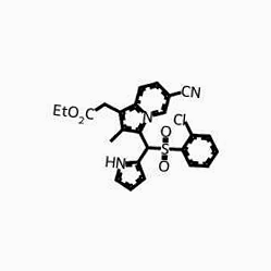 CCOC(=O)Cc1c(C)c(C(c2ccc[nH]2)S(=O)(=O)c2ccccc2Cl)n2cc(C#N)ccc12